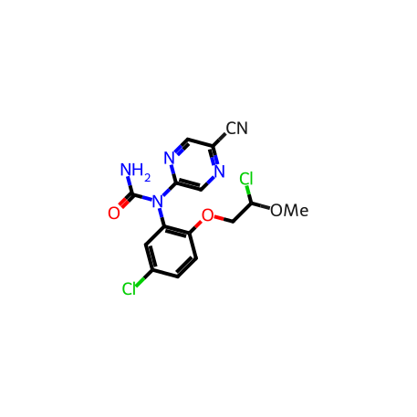 COC(Cl)COc1ccc(Cl)cc1N(C(N)=O)c1cnc(C#N)cn1